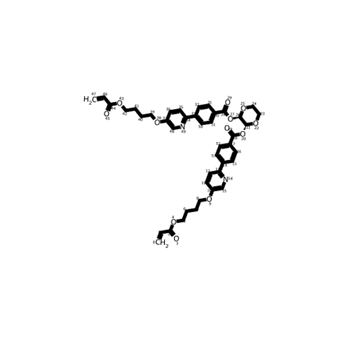 C=CC(=O)OCCCCOc1ccc(-c2ccc(C(=O)O[C@H]3OCCO[C@@H]3OC(=O)c3ccc(-c4ccc(OCCCCOC(=O)C=C)cn4)cc3)cc2)nc1